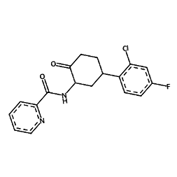 O=C(NC1CC(c2ccc(F)cc2Cl)CCC1=O)c1ccccn1